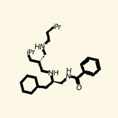 CC(C)CCNC[C@H](CN[C@@H](CNC(=O)c1ccccc1)CC1CCCCC1)CC(C)C